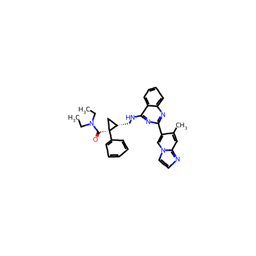 CCN(CC)C(=O)[C@]1(c2ccccc2)C[C@@H]1CNc1nc(-c2cn3ccnc3cc2C)nc2ccccc12